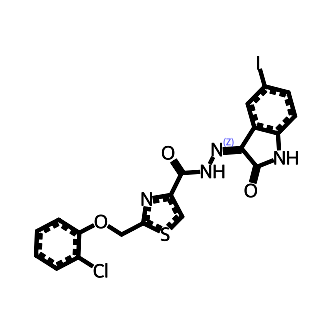 O=C1Nc2ccc(I)cc2/C1=N/NC(=O)c1csc(COc2ccccc2Cl)n1